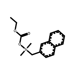 CCOC(=O)O[Si](C)(C)Cc1ccc2ccccc2c1